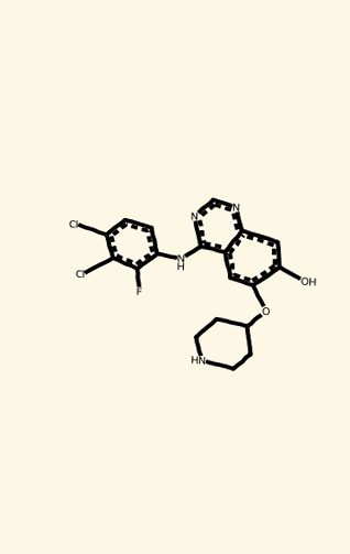 Oc1cc2ncnc(Nc3ccc(Cl)c(Cl)c3F)c2cc1OC1CCNCC1